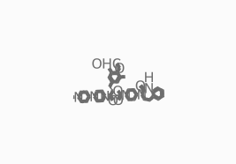 Cc1cc(C[C@@H](OC(=O)N2CCC(N3CCc4ccccc4NC3=O)CC2)C(=O)N2CCN(C3CCN(C)CC3)CC2)cc(C)c1OC=O